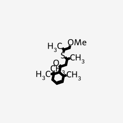 COCC(C)SC(C)CC(=O)C1C(C)C=CCC1(C)C